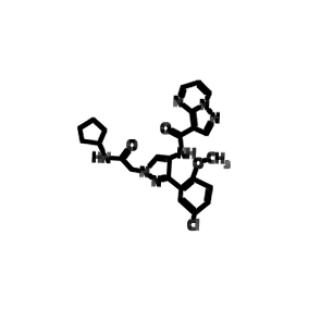 COc1ccc(Cl)cc1-c1nn(CC(=O)NC2CCCC2)cc1NC(=O)c1cnn2cccnc12